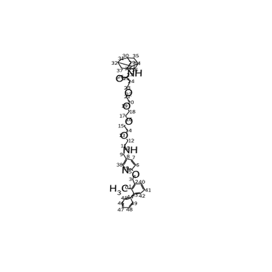 Cc1c(COc2ccc(CNCCOCCOCCOCCOCCC(=O)NC34CC5CC(CC(C5)C3)C4)cn2)cccc1-c1ccccc1